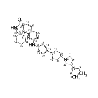 CCN(CC)C1CCN(C2CCN(c3ccc(Nc4ncc5c(n4)N4C(C=C5)C(=O)NCC45CCCCC5)nc3)CC2)C1